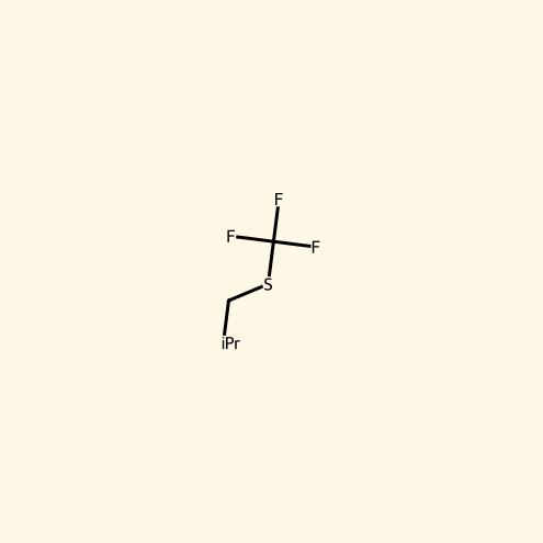 CC(C)CSC(F)(F)F